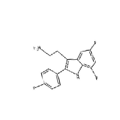 NCCc1c(-c2ccc(F)cc2)[nH]c2c(F)cc(F)cc12